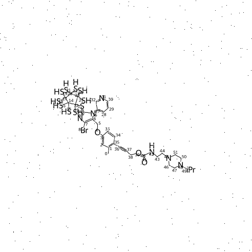 Cc1cc(OCc2c(Br)nc(SC3(S)C(S)(S)C(S)(S)C(S)(S)C3(S)S)n2-c2cccnc2)ccc1C#CCOC(=O)NCCN1CCN(C(C)C)CC1